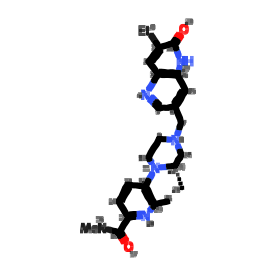 CCc1cc2ncc(CN3CCN(c4ccc(C(=O)NC)nc4C)[C@@H](C)C3)cc2[nH]c1=O